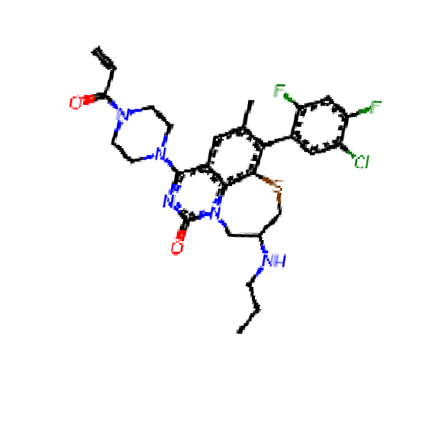 C=CC(=O)N1CCN(c2nc(=O)n3c4c(c(-c5cc(Cl)c(F)cc5F)c(C)cc24)SCC(NCCC)C3)CC1